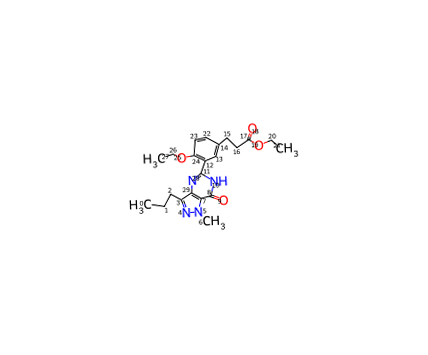 CCCc1nn(C)c2c(=O)[nH]c(-c3cc(CCC(=O)OCC)ccc3OCC)nc12